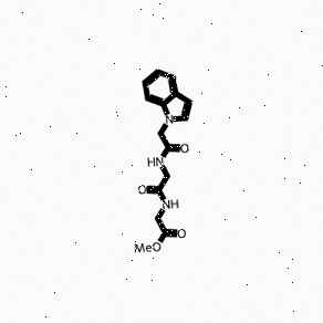 COC(=O)CNC(=O)CNC(=O)Cn1ccc2ccccc21